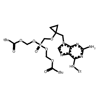 CCNc1nc(N)nc2c1ncn2CC1(OCP(=O)(OCOC(=O)C(C)(C)C)OCOC(=O)C(C)(C)C)CC1